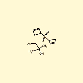 CC(=O)CC(C)(C)O.O=S(=O)(C1C=CC1)C1C=CC1